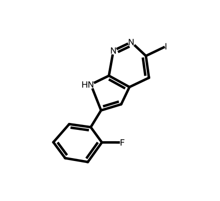 Fc1ccccc1-c1cc2cc(I)nnc2[nH]1